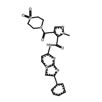 Cn1ncc(C(=O)N2CCS(=O)(=O)CC2)c1C(=O)Nc1ccn2cc(-c3ccccc3)nc2n1